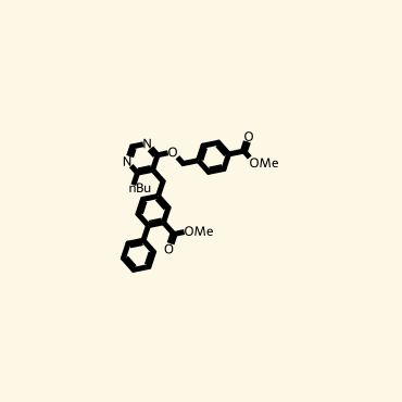 CCCCc1ncnc(OCc2ccc(C(=O)OC)cc2)c1Cc1ccc(-c2ccccc2)c(C(=O)OC)c1